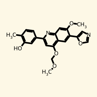 COCOc1cc(-c2ccc(C)c(O)c2)nc2cc(OC)c(-c3cnco3)cc12